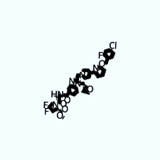 COC(=O)[C@@H]1CC(F)(F)CN1C(=O)[C@H](C)NC(=O)c1ccc2c(c1)nc(CN1CC=C(c3cccc(OCc4ccc(Cl)cc4F)n3)CC1)n2C[C@@H]1CCO1